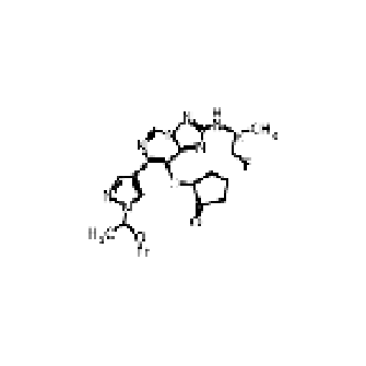 CCOC(C)n1cc(-c2ncn3nc(N[C@@H](C)CF)nc3c2OC2CCCC2=O)cn1